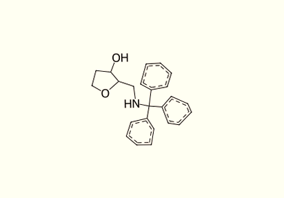 OC1CCOC1CNC(c1ccccc1)(c1ccccc1)c1ccccc1